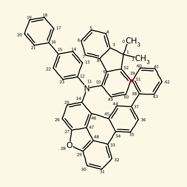 CC1(C)c2ccccc2-c2c(N(c3ccc(-c4ccccc4)cc3)c3ccc4oc5cccc6c7ccc(-c8ccccc8)cc7c3c4c56)cccc21